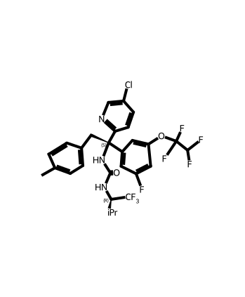 Cc1ccc(C[C@](NC(=O)N[C@H](C(C)C)C(F)(F)F)(c2cc(F)cc(OC(F)(F)C(F)F)c2)c2ccc(Cl)cn2)cc1